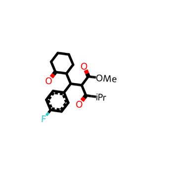 COC(=O)C(C(=O)C(C)C)C(c1ccc(F)cc1)C1CCCCC1=O